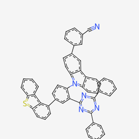 N#Cc1cccc(-c2ccc3c(c2)c2ccccc2n3-c2ccc(-c3cccc4sc5ccccc5c34)cc2-c2nc(-c3ccccc3)nc(-c3ccccc3)n2)c1